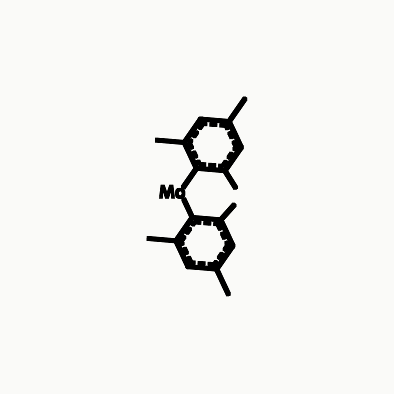 Cc1cc(C)[c]([Mo][c]2c(C)cc(C)cc2C)c(C)c1